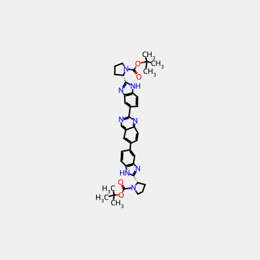 CC(C)(C)OC(=O)N1CCC[C@H]1c1nc2cc(-c3ccc4nc(-c5ccc6[nH]c([C@@H]7CCCN7C(=O)OC(C)(C)C)nc6c5)ncc4c3)ccc2[nH]1